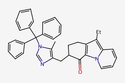 CCc1c2c(n3ccccc13)C(=O)C(Cc1ncn(C(c3ccccc3)(c3ccccc3)c3ccccc3)c1C)CC2